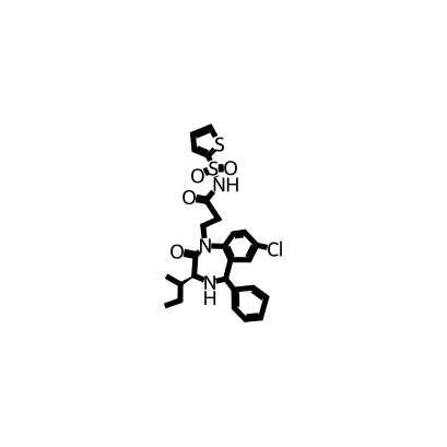 CCC(C)[C@@H]1NC(c2ccccc2)c2cc(Cl)ccc2N(CCC(=O)NS(=O)(=O)c2cccs2)C1=O